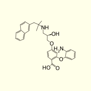 CC(C)(Cc1ccc2ccccc2c1)NC[C@@H](O)COc1ccc(C(=O)O)c(Oc2ccccc2N)c1